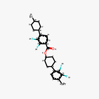 CCCc1ccc(C2CCC(OC(=O)c3ccc(C4CCC(CC)CC4)c(F)c3F)CC2)c(F)c1F